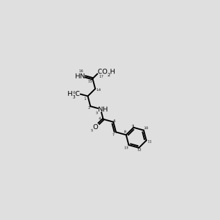 CC(CNC(=O)/C=C/c1ccccc1)CC(=N)C(=O)O